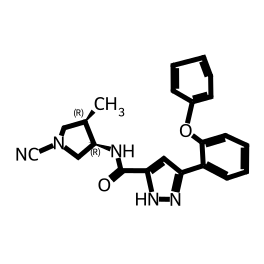 C[C@@H]1CN(C#N)C[C@@H]1NC(=O)c1cc(-c2ccccc2Oc2ccccc2)n[nH]1